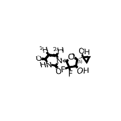 [2H]c1c([2H])n([C@@H]2O[C@H](C3(O)CC3)C(O)C2(F)F)c(=O)[nH]c1=O